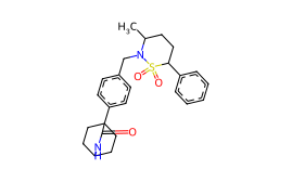 CC1CCC(c2ccccc2)S(=O)(=O)N1Cc1ccc(C23CCC(CC2)NC3=O)cc1